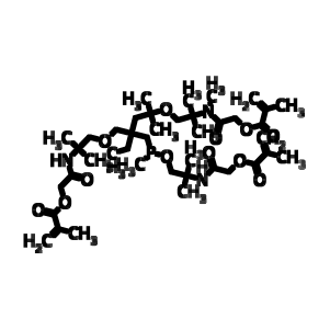 C=C(C)C(=O)OCC(=O)NC(C)(C)COCC(CC)(CP(C)OCC(C)(C)NC(=O)COC(=O)C(=C)C)CC(C)(C)OCC(C)(C)N(C)C(=O)COC(=O)C(=C)C